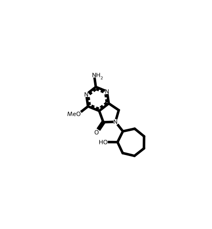 COc1nc(N)nc2c1C(=O)N(C1CCCCCC1O)C2